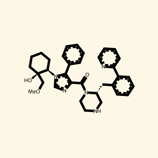 COC[C@]1(O)CCCC[C@H]1n1cnc(C(=O)N2CCNC[C@H]2Cc2ccccc2-c2ccccn2)c1-c1ccccc1